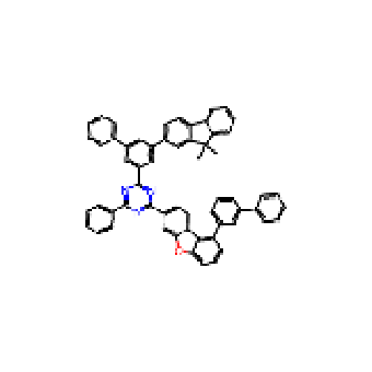 CC1(C)c2ccccc2-c2ccc(-c3cc(-c4ccccc4)cc(-c4nc(-c5ccccc5)nc(-c5ccc6c(c5)oc5cccc(-c7cccc(-c8ccccc8)c7)c56)n4)c3)cc21